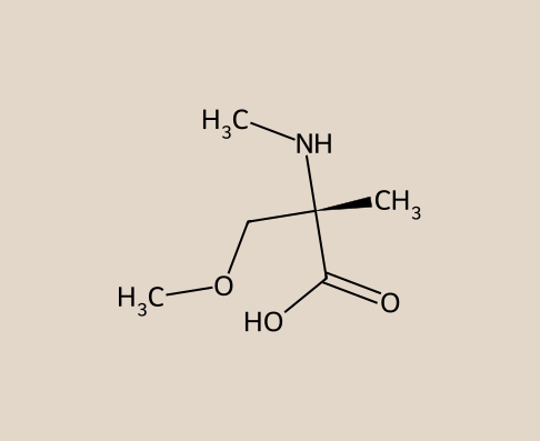 CN[C@@](C)(COC)C(=O)O